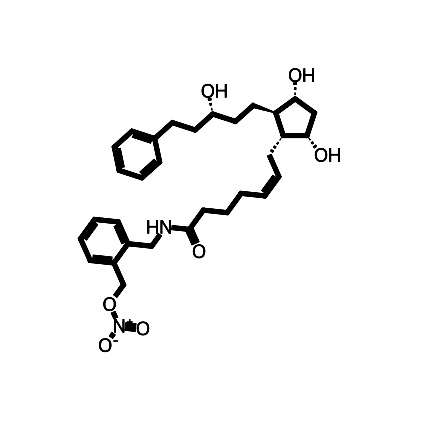 O=C(CCC/C=C\C[C@@H]1[C@@H](CC[C@@H](O)CCc2ccccc2)[C@H](O)C[C@@H]1O)NCc1ccccc1CO[N+](=O)[O-]